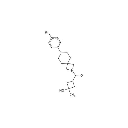 CC(C)c1ccc(C2CCC3(CC2)CN(C(=O)C2CC(C)(O)C2)C3)cc1